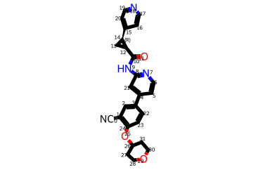 N#Cc1cc(-c2ccnc(NC(=O)C3C[C@H]3c3ccncc3)c2)ccc1OC1CCOCC1